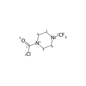 O=C(Cl)N1CCN(C(F)(F)F)CC1